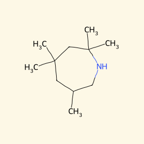 CC1CNC(C)(C)CC(C)(C)C1